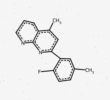 Cc1ccc(F)c(-c2cc(C)c3cccnc3n2)c1